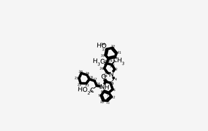 C[C@H]1CN(C[C@H](Cc2ccccc2)C(=O)N[C@@H](CC2CCCCC2)C(=O)O)CC[C@@]1(C)c1cccc(O)c1